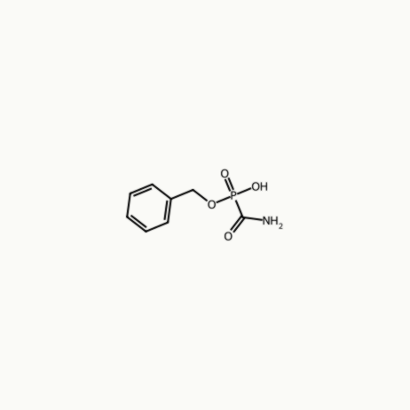 NC(=O)P(=O)(O)OCc1ccccc1